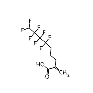 C=C(CCCC(F)(F)C(F)(F)C(F)(F)C(F)F)C(=O)O